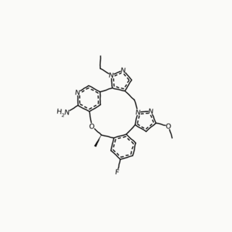 CCn1ncc2c1-c1cnc(N)c(c1)O[C@H](C)c1cc(F)ccc1-c1cc(OC)nn1C2